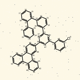 Clc1cccc(-c2nc(-c3cccc(-c4ccccc4-c4ccccc4)c3)nc(-c3ccc4c5ccccc5c5ccccc5c4c3)n2)c1